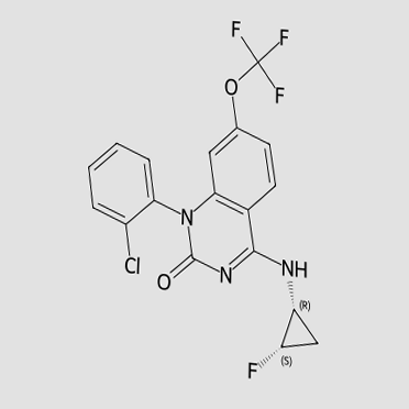 O=c1nc(N[C@@H]2C[C@@H]2F)c2ccc(OC(F)(F)F)cc2n1-c1ccccc1Cl